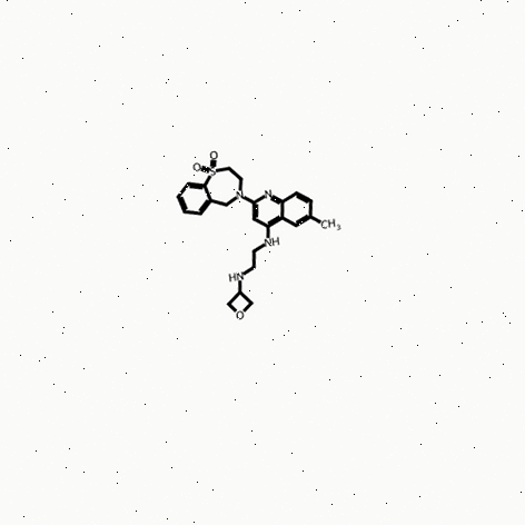 Cc1ccc2nc(N3CCS(=O)(=O)c4ccccc4C3)cc(NCCNC3COC3)c2c1